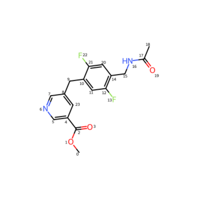 COC(=O)c1cncc(Cc2cc(F)c(CNC(C)=O)cc2F)c1